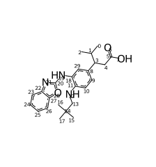 CC(C)C(CC(=O)O)c1ccc(NCC(C)(C)C)c(Nc2nc3ccccc3o2)c1